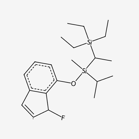 CC[Si](CC)(CC)C(C)[Si](C)(Oc1cccc2c1C(F)[C]=C2)C(C)C